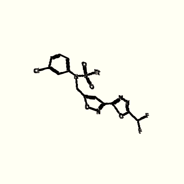 CCS(=O)(=O)N(Cc1cc(-c2nnc(C(F)F)o2)no1)c1cccc(Cl)c1